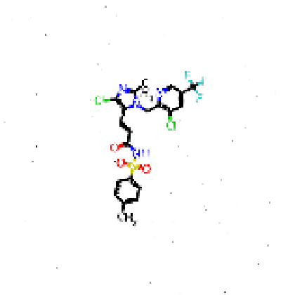 Cc1ccc(S(=O)(=O)NC(=O)C=Cc2c(Cl)nc(C)n2Cc2ncc(C(F)(F)F)cc2Cl)cc1